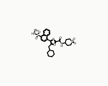 CC(C)(C)NS(=O)(=O)c1ccc(-c2nc(C(=O)NC3CCS(=O)(=O)CC3)oc2CC2CCCCC2)c2ccccc12